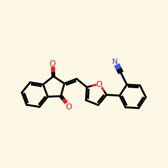 N#Cc1ccccc1-c1ccc(C=C2C(=O)c3ccccc3C2=O)o1